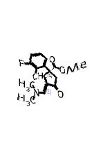 COC(=O)[C@]1(c2cccc(F)c2C)CC(=O)/C(=C/N(C)C)C1